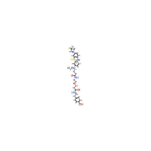 CN(CCCC(=O)NCCOCCC(=O)NCCc1ccc(O)cc1)c1ccc2c(c1)=[SH]c1cc(N3CC(F)(F)C3)ccc1N=2